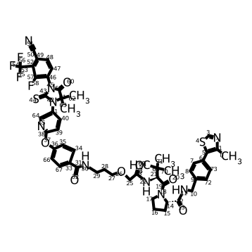 Cc1ncsc1-c1ccc(CNC(=O)[C@@H]2CCCN2C(=O)[C@@H](NC(=O)COCCCNC(=O)c2ccc(Oc3ccc(N4C(=S)N(c5ccc(C#N)c(C(F)(F)F)c5F)C(=O)C4(C)C)cn3)cc2)C(C)(C)C)cc1